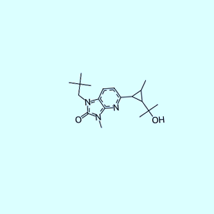 CC1C(c2ccc3c(n2)n(C)c(=O)n3CC(C)(C)C)C1C(C)(C)O